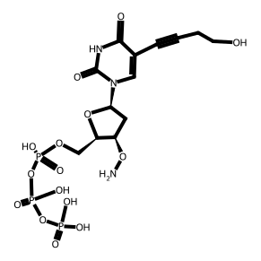 NO[C@@H]1C[C@H](n2cc(C#CCCO)c(=O)[nH]c2=O)O[C@@H]1COP(=O)(O)OP(=O)(O)OP(=O)(O)O